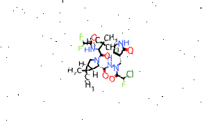 CC(C)(C)[C@H](NC(=O)C(F)F)C(=O)N1C[C@H]2[C@@H]([C@H]1C(=O)NN(C[C@@H]1CCNC1=O)C(=O)[C@H](F)Cl)C2(C)C